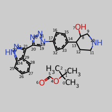 CC(C)(C)OC=O.OC1CNCCC1c1ccc(-n2cc(-c3n[nH]c4ccccc34)nn2)cc1